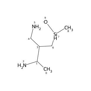 CC(N)C(CN)C[SiH](C)[O]